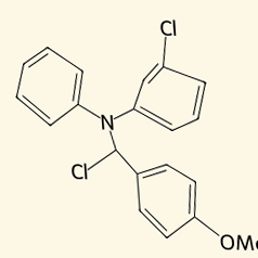 COc1ccc(C(Cl)N(c2ccccc2)c2cccc(Cl)c2)cc1